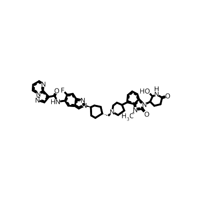 Cn1c(=O)n(C2CCC(=O)NC2O)c2cccc(C3CCN(C[C@H]4CC[C@H](n5cc6cc(NC(=O)c7cnn8cccnc78)c(F)cc6n5)CC4)CC3)c21